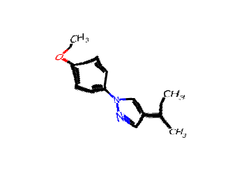 COc1ccc(-n2cc(C(C)C)cn2)cc1